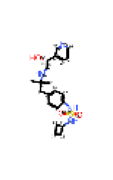 CC(C)(Cc1ccc(NS(=O)(=O)NC2CCC2)cc1)NC[C@H](O)c1cccnc1